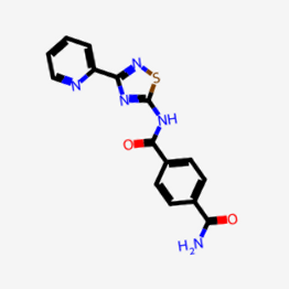 NC(=O)c1ccc(C(=O)Nc2nc(-c3ccccn3)ns2)cc1